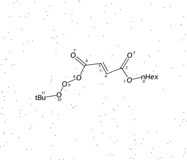 CCCCCCOC(=O)/C=C/C(=O)OOOC(C)(C)C